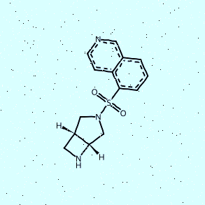 O=S(=O)(c1cccc2cnccc12)N1C[C@H]2CN[C@H]2C1